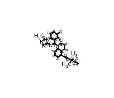 Cc1nnc2nc(N3CCCc4c(C#CC(C)(C)C(F)(F)F)cccc43)c3c(Cl)c(F)ccc3n12